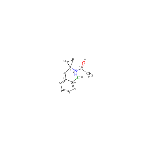 O=C(NC1(Cc2ccccc2Cl)CC1)C(F)(F)F